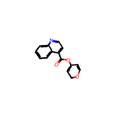 O=C(OC1=CCOC=C1)c1ccnc2ccccc12